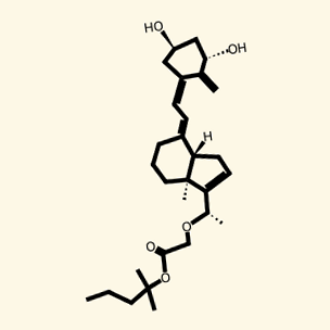 C=C1C(=CC=C2CCC[C@]3(C)C([C@H](C)OCC(=O)OC(C)(C)CCC)=CC[C@@H]23)C[C@@H](O)C[C@@H]1O